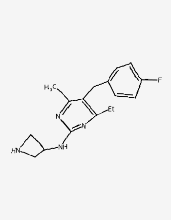 CCc1nc(NC2CNC2)nc(C)c1Cc1ccc(F)cc1